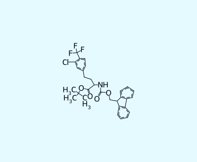 CC(C)(C)OC(=O)C(CCc1ccc(C(F)(F)F)c(Cl)c1)NC(=O)OCC1c2ccccc2-c2ccccc21